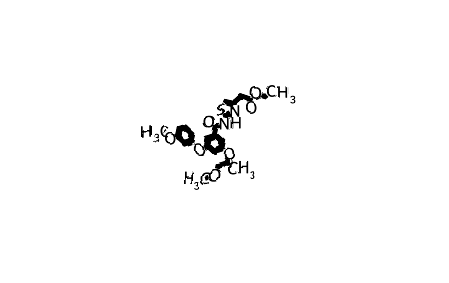 CCOC(=O)Cc1csc(NC(=O)c2cc(Oc3cccc(OC)c3)cc(O[C@@H](C)COC)c2)n1